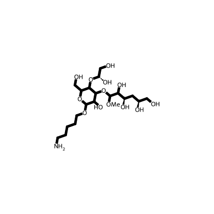 COC(OC1C(O)C(OCCCCCN)OC(CO)C1O[C@@H](O)CO)C(O)[C@H](O)C[C@H](O)CO